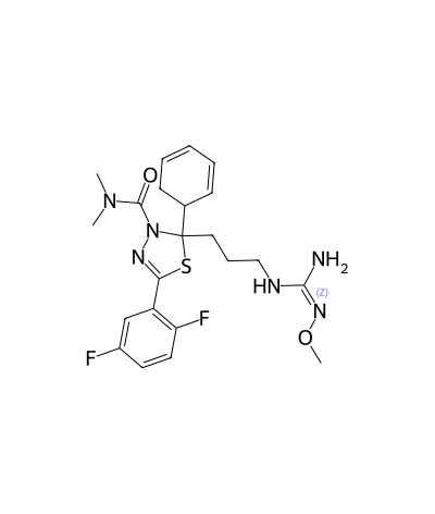 CO/N=C(/N)NCCCC1(C2C=CC=CC2)SC(c2cc(F)ccc2F)=NN1C(=O)N(C)C